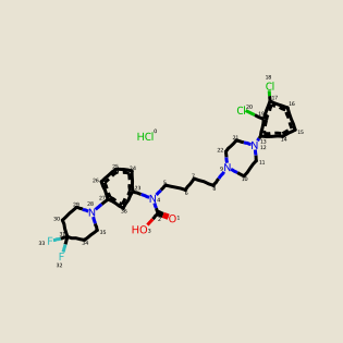 Cl.O=C(O)N(CCCCN1CCN(c2cccc(Cl)c2Cl)CC1)c1cccc(N2CCC(F)(F)CC2)c1